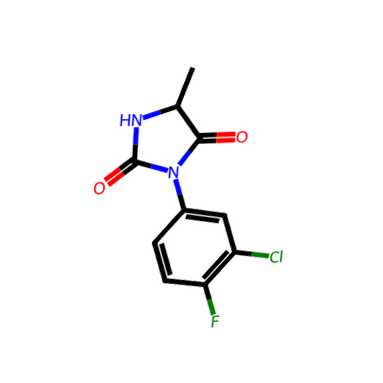 CC1NC(=O)N(c2ccc(F)c(Cl)c2)C1=O